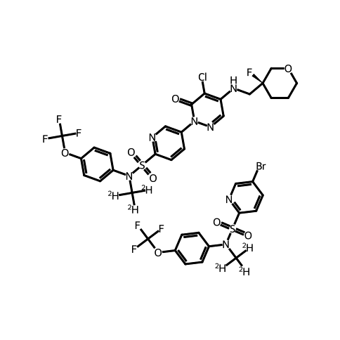 [2H]C([2H])([2H])N(c1ccc(OC(F)(F)F)cc1)S(=O)(=O)c1ccc(-n2ncc(NC[C@@]3(F)CCCOC3)c(Cl)c2=O)cn1.[2H]C([2H])([2H])N(c1ccc(OC(F)(F)F)cc1)S(=O)(=O)c1ccc(Br)cn1